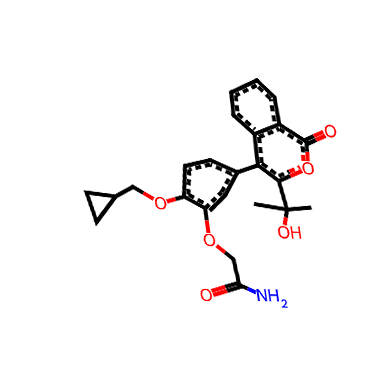 CC(C)(O)c1oc(=O)c2ccccc2c1-c1ccc(OCC2CC2)c(OCC(N)=O)c1